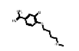 CNCCCCOc1ccc(C(=N)N)cc1Cl